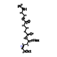 CCCCCCCC/C=C\CC(CCCCCC)OC(=O)CCCC(=O)OCCNC(C)C